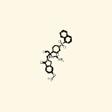 COc1ccc2c(c1)CN(CC(C=O)(NC(N)=O)C1CCN(S(=O)(=O)c3cccc4ccccc34)CC1)C2=O